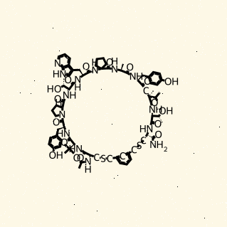 CC(=O)N[C@H]1CSCc2cccc(c2)CSC[C@@H](C(N)=O)NC(=O)[C@H]([C@@H](C)O)NC(=O)[C@](C)(C(C)C)CC(=O)[C@H](Cc2ccc(O)cc2)NC(=O)[C@H](C)NC(=O)C2(CCCC2)NC(=O)[C@H](Cc2c[nH]c3ncccc23)NC(=O)[C@H]([C@@H](C)O)NC(=O)[C@@H]2CCCN2C(=O)[C@H](Cc2ccc(O)cc2)NC(=O)[C@H](C(C)(C)C)NC1=O